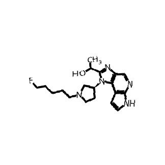 CC(O)c1nc2cnc3[nH]ccc3c2n1[C@H]1CCN(CCCCCF)C1